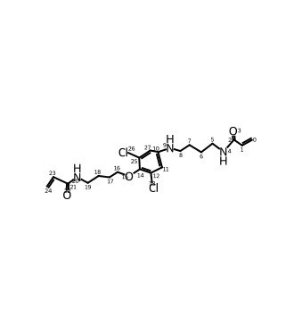 C=CC(=O)NCCCCNc1cc(Cl)c(OCCCCNC(=O)C=C)c(Cl)c1